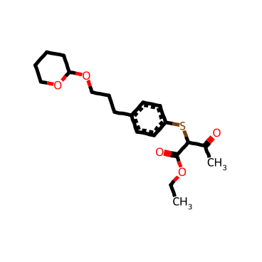 CCOC(=O)C(Sc1ccc(CCCOC2CCCCO2)cc1)C(C)=O